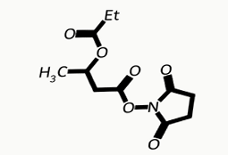 CCC(=O)OC(C)CC(=O)ON1C(=O)CCC1=O